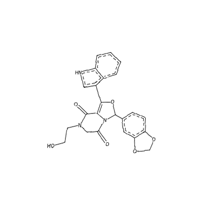 O=C1C2=C(c3c[nH]c4ccccc34)OC(c3ccc4c(c3)OCO4)N2C(=O)CN1CCO